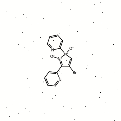 [O-][N+]1=C(c2ccccn2)C(Br)=C[N+]1([O-])c1ccccn1